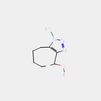 CCOC1CCCCCc2c1nnn2CC